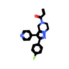 C=CC(=O)N1CCn2nc(-c3ccc(F)cc3)c(-c3ccncc3)c2C1